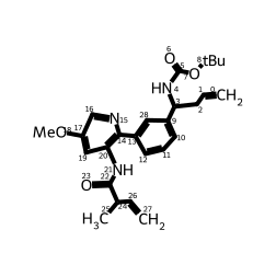 C=CCC(NC(=O)OC(C)(C)C)c1cccc(-c2ncc(OC)cc2NC(=O)C(C)C=C)c1